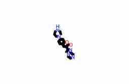 O=c1oc2cc(N3CCCNCC3)ccc2cc1-c1cn2ccncc2n1